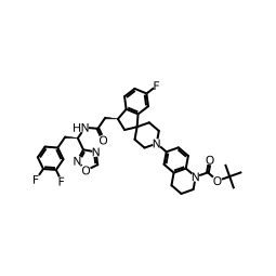 CC(C)(C)OC(=O)N1CCCc2cc(N3CCC4(CC3)C[C@@H](CC(=O)N[C@H](Cc3ccc(F)c(F)c3)c3ncon3)c3ccc(F)cc34)ccc21